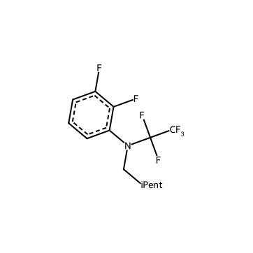 CCCC(C)CN(c1cccc(F)c1F)C(F)(F)C(F)(F)F